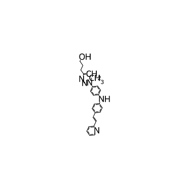 C=C(CCCO)/N=N\N(C)c1ccc(Nc2ccc(/C=C/c3ccccn3)cc2)cc1